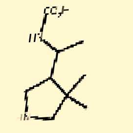 CC(NC(=O)O)C1CNCC1(C)C